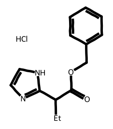 CCC(C(=O)OCc1ccccc1)c1ncc[nH]1.Cl